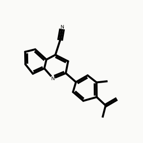 C=C(C)c1ccc(-c2cc(C#N)c3ccccc3n2)cc1C